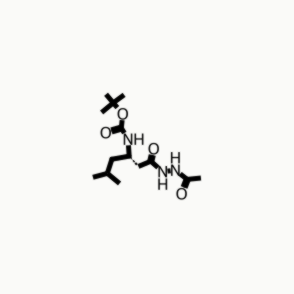 CC(=O)NNC(=O)C[C@H](CC(C)C)NC(=O)OC(C)(C)C